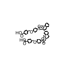 O=C(O)c1ccc(COc2ccc(S(=O)(=O)Cc3ccc4ccccc4n3)cc2)cc1.O=C(O)c1ccc(COc2ccc([S+]([O-])Cc3ccc4ccccc4n3)cc2)cc1